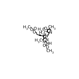 CCOC(=O)Nc1nc(C)c2c(C#CCCOC(=O)OCC)cn(Cc3ncc(C)c(OC)c3C)c2n1